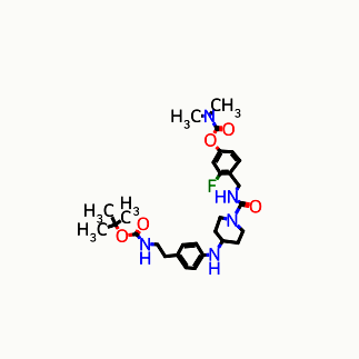 CN(C)C(=O)Oc1ccc(CNC(=O)N2CCC(Nc3ccc(CCNC(=O)OC(C)(C)C)cc3)CC2)c(F)c1